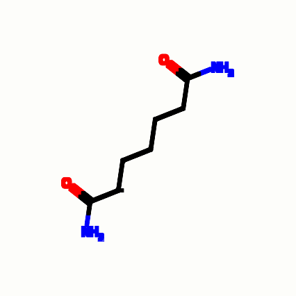 NC(=O)[CH]CCCCC(N)=O